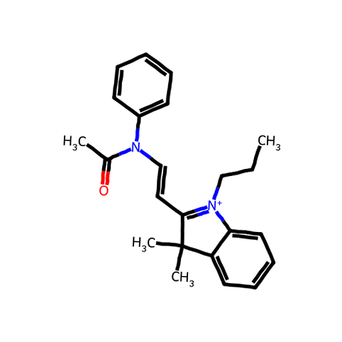 CCC[N+]1=C(/C=C/N(C(C)=O)c2ccccc2)C(C)(C)c2ccccc21